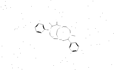 CN1CCN2CCN(CCN(c3ccccc3)C(Cl)C2Cl)CC1c1ccccc1